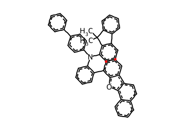 CC1(C)c2ccccc2-c2cccc(N(c3ccc(-c4ccccc4)cc3)c3ccccc3-c3cccc4c3oc3c5ccccc5ccc43)c21